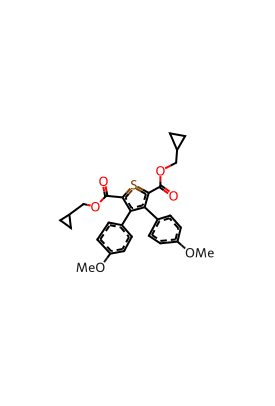 COc1ccc(-c2c(C(=O)OCC3CC3)sc(C(=O)OCC3CC3)c2-c2ccc(OC)cc2)cc1